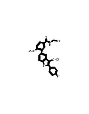 COc1ccc(C(=O)NCC(C)C)cc1-c1ccc2oc(-c3ccc(F)cc3)c(C=O)c2c1